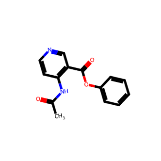 CC(=O)Nc1ccncc1C(=O)Oc1ccccc1